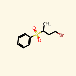 CC(CCBr)S(=O)(=O)c1ccccc1